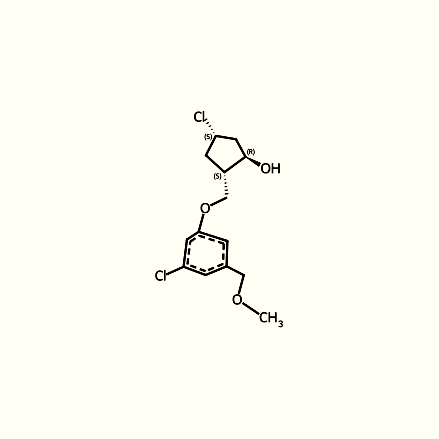 COCc1cc(Cl)cc(OC[C@@H]2C[C@H](Cl)C[C@H]2O)c1